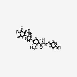 Cc1cc(C2=NOC(c3cc(F)c(F)c(F)c3)(C(F)(F)F)C2)ccc1C(=O)NCCc1ccc(Cl)nc1